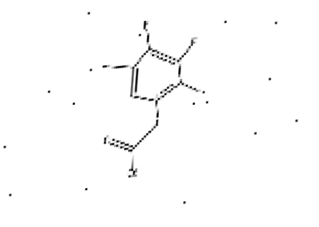 O=C(O)Cc1cc(F)c(F)c(F)c1F